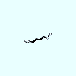 CCOC=CC=COC(C)=O